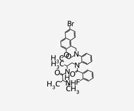 CN[C@@H](C)C(=O)NC(C)CN(C(=O)c1ccccc1F)c1ccccc1N(C=O)Cc1c(OC)ccc2cc(Br)ccc12